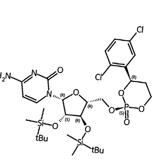 CC(C)(C)[Si](C)(C)O[C@H]1[C@H](O[Si](C)(C)C(C)(C)C)[C@@H](CO[P@]2(=O)OCC[C@H](c3cc(Cl)ccc3Cl)O2)O[C@H]1n1ccc(N)nc1=O